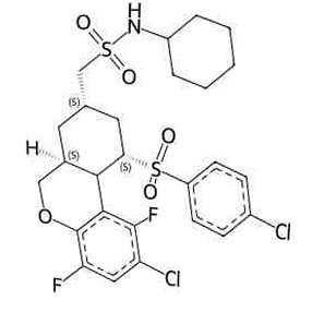 O=S(=O)(C[C@H]1C[C@@H]2COc3c(F)cc(Cl)c(F)c3C2[C@@H](S(=O)(=O)c2ccc(Cl)cc2)C1)NC1CCCCC1